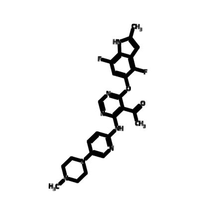 CC(=O)c1c(Nc2ccc(N3CCN(C)CC3)cn2)ncnc1Oc1cc(F)c2[nH]c(C)cc2c1F